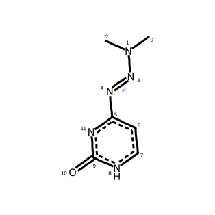 CN(C)/N=N/c1cc[nH]c(=O)n1